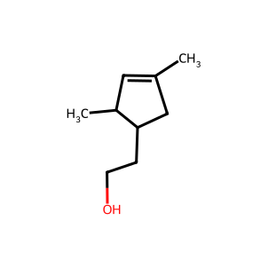 CC1=CC(C)C(CCO)C1